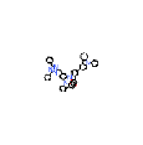 C1=Cc2c(n(-c3ccccc3)c3ccc(-c4ccc5c(c4)c4ccccc4n5-c4cc(Cc5nc(-c6ccccc6)nc(-c6ccccc6)n5)ccc4-n4c5ccccc5c5ccccc54)cc23)C=CC1